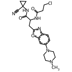 CN1CCN(c2ccc3nc(CC(NC(=O)CCCl)C(=O)NC4(C#N)CC4)oc3c2)CC1